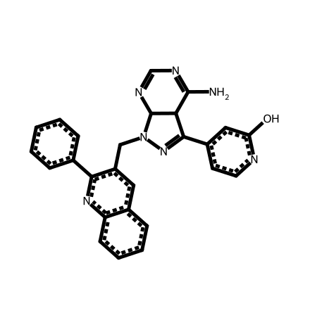 NC1=NC=NC2C1C(c1ccnc(O)c1)=NN2Cc1cc2ccccc2nc1-c1ccccc1